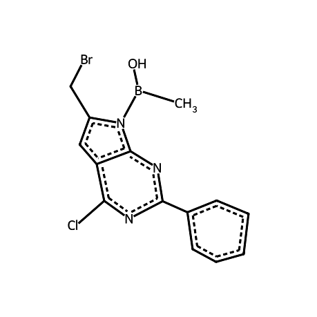 CB(O)n1c(CBr)cc2c(Cl)nc(-c3ccccc3)nc21